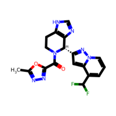 Cc1nnc(C(=O)N2CCc3[nH]cnc3[C@@H]2c2cc3c(C(F)F)cccn3n2)o1